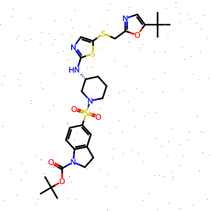 CC(C)(C)OC(=O)N1CCc2cc(S(=O)(=O)N3CCC[C@@H](Nc4ncc(SCc5ncc(C(C)(C)C)o5)s4)C3)ccc21